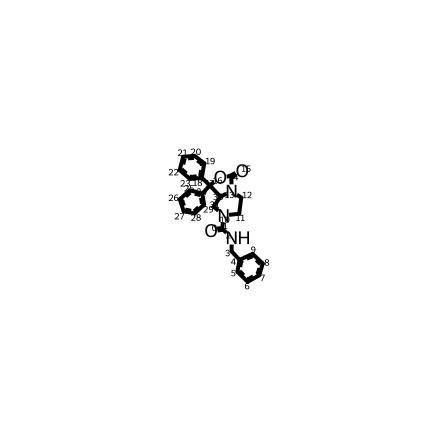 O=C(NCc1ccccc1)N1CCN2C(=O)OC(c3ccccc3)(c3ccccc3)C2C1